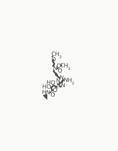 CCOCCCN(CC#Cc1nc(N)c2ncn([C@@H]3O[C@H](C(=O)NC4CC4)C(O)C3O)c2n1)C(=O)OC